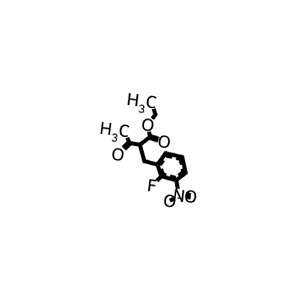 CCOC(=O)C(Cc1cccc([N+](=O)[O-])c1F)C(C)=O